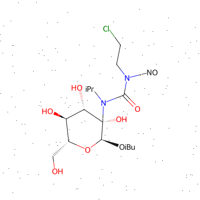 CC(C)CO[C@H]1O[C@H](CO)[C@@H](O)[C@H](O)[C@@]1(O)N(C(=O)N(CCCl)N=O)C(C)C